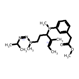 C/C=C(\C)C(CCN(C)/N=N\C(C)C)N(C)c1cccc(CC(=O)OC)c1